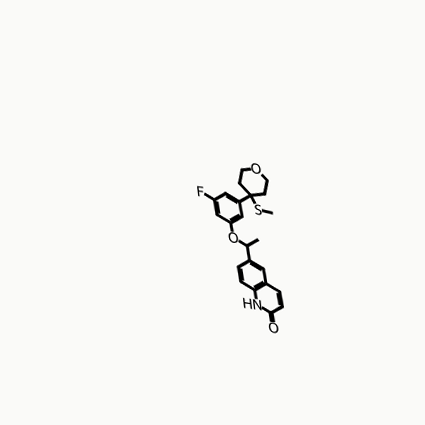 CSC1(c2cc(F)cc(OC(C)c3ccc4[nH]c(=O)ccc4c3)c2)CCOCC1